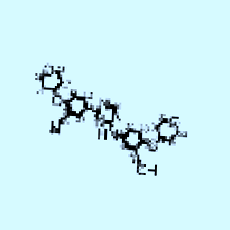 C#Cc1cc(Nc2ncnc(-c3ccc(OC4CCOCC4)c(C#N)c3)n2)ccc1OC1CCOCC1